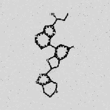 CC[C@H](O)c1cc2nccc(-c3cc(Cl)cc4c3OC(c3onc5c3CNCC5)C4)c2s1